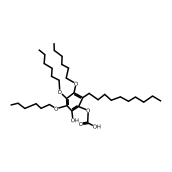 CCCCCCCCCCc1c(OC(=O)O)c(O)c(OCCCCCC)c(OCCCCCC)c1OCCCCCC